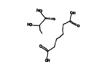 CC(O)C(=O)O.O=C(O)CCCCC(=O)O